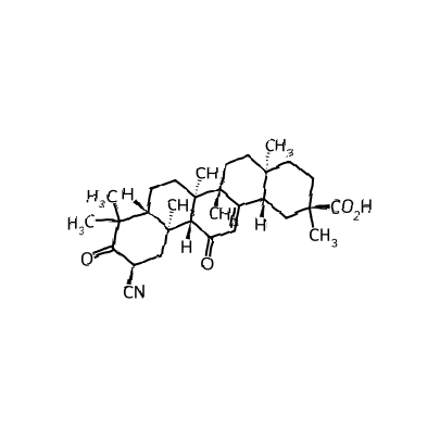 CC1(C)C(=O)[C@H](C#N)C[C@]2(C)[C@H]3C(=O)C=C4[C@H]5C[C@](C)(C(=O)O)CC[C@]5(C)CC[C@@]4(C)[C@]3(C)CC[C@@H]12